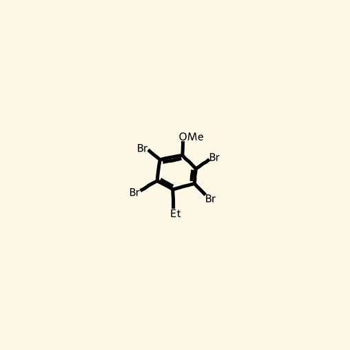 CCc1c(Br)c(Br)c(OC)c(Br)c1Br